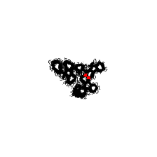 CC1(C)c2ccccc2-c2cccc(-c3ccccc3N(c3ccc4c(c3)C3(c5ccccc5-4)C4CC5CC(C4)CC3C5)c3cccc4c3-c3ccccc3C4(C)c3ccccc3)c21